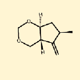 C=C1[C@H](C)C[C@@H]2OCOC[C@@H]12